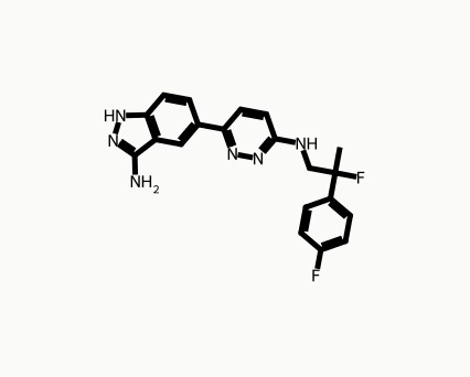 CC(F)(CNc1ccc(-c2ccc3[nH]nc(N)c3c2)nn1)c1ccc(F)cc1